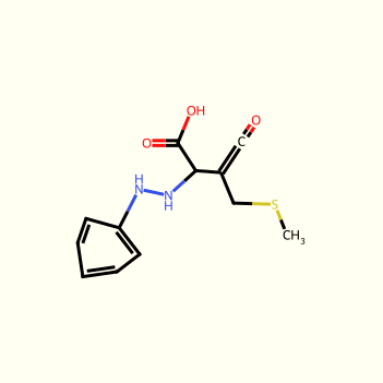 CSCC(=C=O)C(NNc1ccccc1)C(=O)O